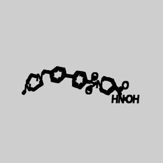 CN1CCN(Cc2ccc(-c3ccc(S(=O)(=O)N4CC=C(C(=O)NO)CC4)cc3)cc2)CC1